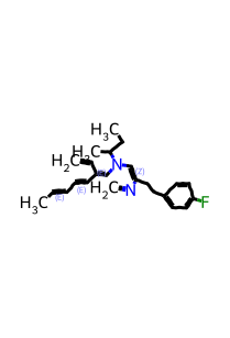 C=CC(/C=C/C=C/C)=C\N(/C=C(/CCc1ccc(F)cc1)N=C)C(C)CC